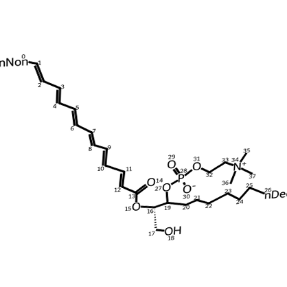 CCCCCCCCCC=CC=CC=CC=CC=CC=CC(=O)O[C@@H](CO)C(CCCCCCCCCCCCCCCC)OP(=O)([O-])OCC[N+](C)(C)C